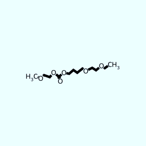 CCOCCOCCCCOC(=O)OCCOC